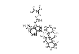 C=C(C)N(CC)CCNCc1nn(CCC2=Cc3cccc(C)c3C(=C)N2c2ccccc2C)c2ncnc(N)c12